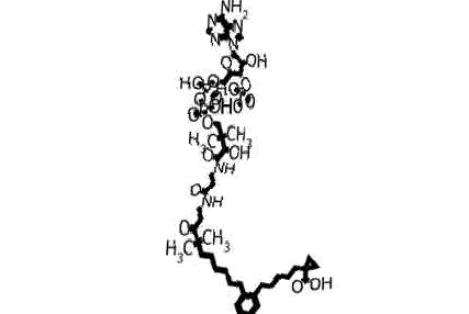 CC(C)(CCCCCCc1ccccc1CCCCCC1(C(=O)O)CC1)C(=O)CCNC(=O)CCNC(=O)C(O)C(C)(C)COP(=O)(O)OP(=O)(O)OCC1OC(n2cnc3c(N)ncnc32)C(O)C1OP(=O)(O)O